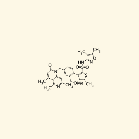 COCc1cc(Cn2c(=O)cc(C)c3c(C)nc(C)cc32)ccc1-c1cc(C)sc1S(=O)(=O)Nc1noc(C)c1C